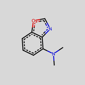 CN(C)c1cccc2ocnc12